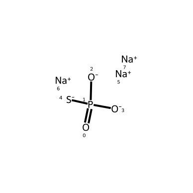 O=P([O-])([O-])[S-].[Na+].[Na+].[Na+]